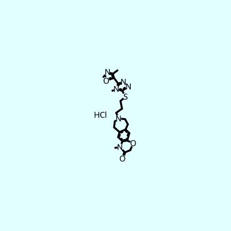 Cc1ncoc1-c1nnc(SCCCN2CCc3cc4c(cc3CC2)N(C)C(=O)CO4)n1C.Cl